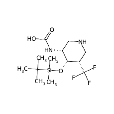 CC(C)(C)[Si](C)(C)O[C@@H]1[C@H](NC(=O)O)CNC[C@@H]1C(F)(F)F